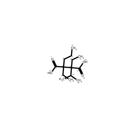 CCCC(CC)(C(=O)O)C(CC)(C(=O)O)C(C)C